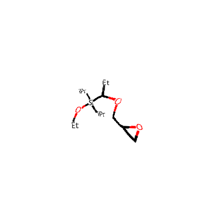 CCO[Si](C(C)C)(C(C)C)C(CC)OCC1CO1